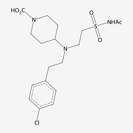 CC(=O)NS(=O)(=O)CCN(CCc1ccc(Cl)cc1)C1CCN(C(=O)O)CC1